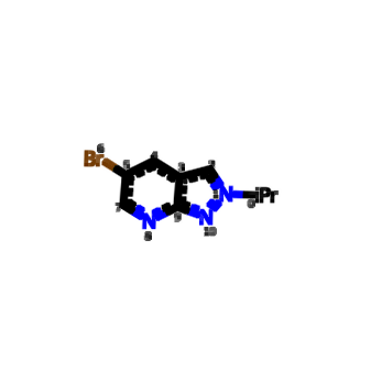 CC(C)n1cc2cc(Br)cnc2n1